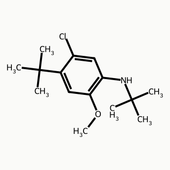 COc1cc(C(C)(C)C)c(Cl)cc1NC(C)(C)C